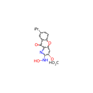 CC(C)c1ccc2oc3cc(OC(=O)O)c(NO)nc3c(=O)c2c1